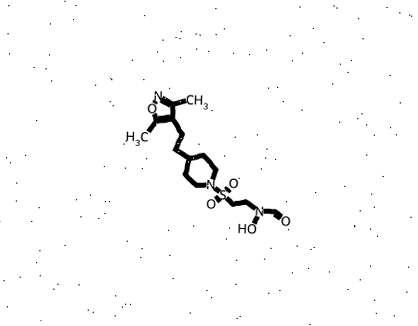 Cc1noc(C)c1CCC1CCN(S(=O)(=O)CCN(O)C=O)CC1